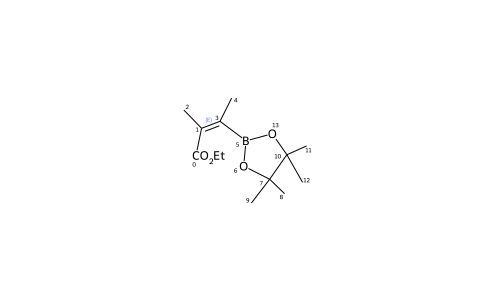 CCOC(=O)/C(C)=C(/C)B1OC(C)(C)C(C)(C)O1